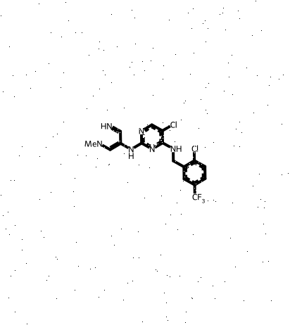 CN/C=C(\C=N)Nc1ncc(Cl)c(NCc2cc(C(F)(F)F)ccc2Cl)n1